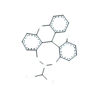 CC(C)P1Oc2cccc(O)c2C2c3ccccc3Oc3cccc(c32)O1